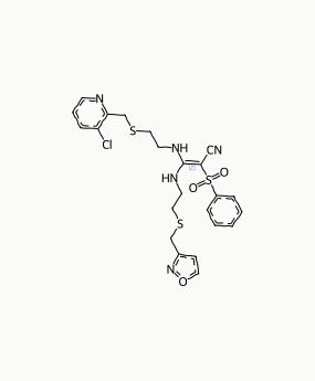 N#C/C(=C(/NCCSCc1ccon1)NCCSCc1ncccc1Cl)S(=O)(=O)c1ccccc1